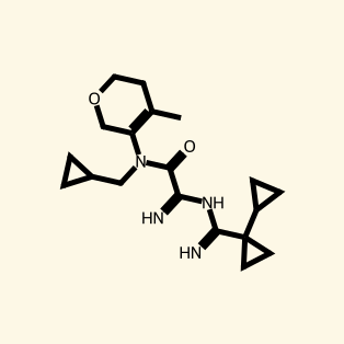 CC1=C(N(CC2CC2)C(=O)C(=N)NC(=N)C2(C3CC3)CC2)COCC1